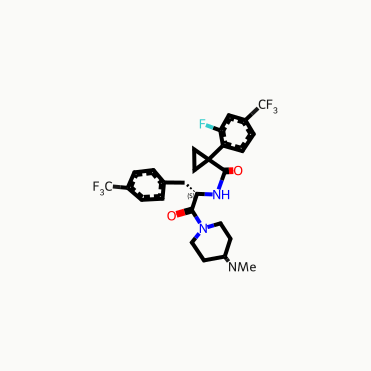 CNC1CCN(C(=O)[C@H](Cc2ccc(C(F)(F)F)cc2)NC(=O)C2(c3ccc(C(F)(F)F)cc3F)CC2)CC1